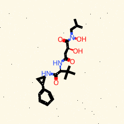 CC(C)CN(O)C(=O)[C@@H](O)CC(=O)N[C@H](C(=O)NC1CC1c1ccccc1)C(C)(C)C